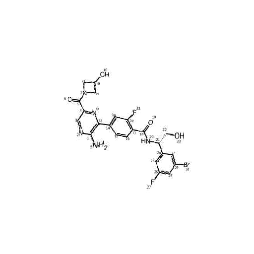 Nc1ncc(C(=O)N2CC(O)C2)nc1-c1ccc(C(=O)N[C@H](CO)c2cc(F)cc(Br)c2)c(F)c1